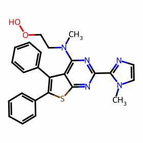 CN(CCOO)c1nc(-c2nccn2C)nc2sc(-c3ccccc3)c(-c3ccccc3)c12